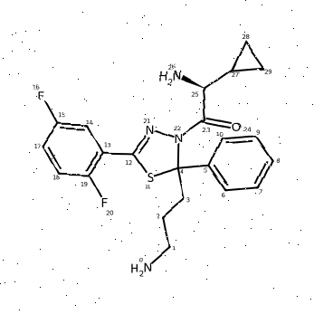 NCCCC1(c2ccccc2)SC(c2cc(F)ccc2F)=NN1C(=O)[C@@H](N)C1CC1